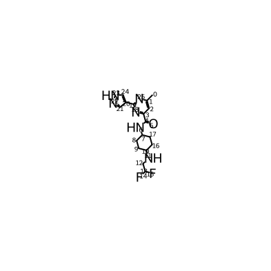 Cc1cc(C(=O)NC2CCC(NCC(F)F)CC2)nc(-c2cn[nH]c2)n1